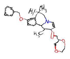 CC1=C(OCC2COCCO2)C=CN2CC(C)(C)c3cc(OCc4ccccc4)ccc3C12